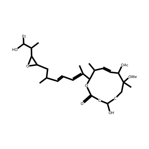 CCC(O)C(C)C1OC1CC(C)/C=C/C=C(\C)C1OC(=O)CC(O)CCC(C)(OC)C(OC(C)=O)/C=C/C1C